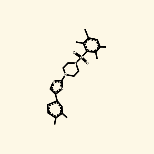 Cc1ccc(-c2csc(N3CCN(S(=O)(=O)c4c(C)c(C)cc(C)c4C)CC3)n2)cc1C